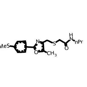 CCCNC(=O)CSCc1nc(-c2ccc(SC)cc2)oc1C